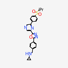 CC(C)S(=O)(=O)c1ccc(-c2cncc(-c3nnc(-c4ccc(CNC5CC5)cc4)o3)n2)cc1